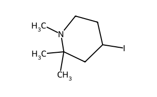 CN1CCC(I)CC1(C)C